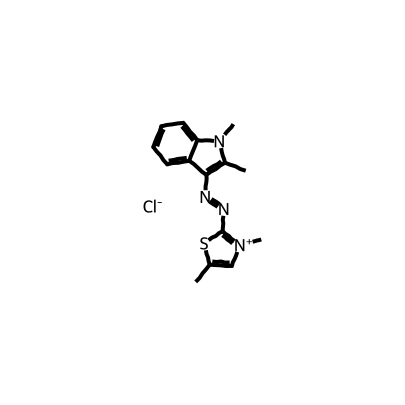 Cc1c[n+](C)c(/N=N/c2c(C)n(C)c3ccccc23)s1.[Cl-]